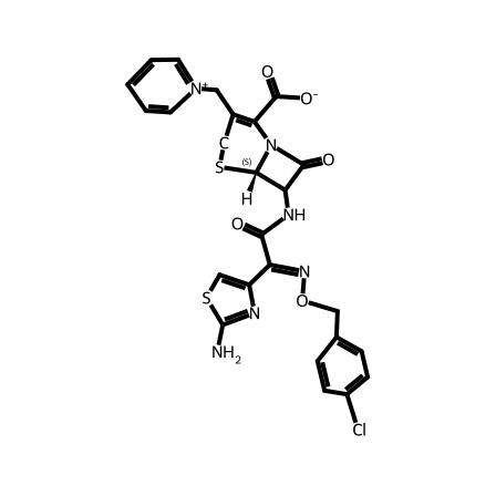 Nc1nc(C(=NOCc2ccc(Cl)cc2)C(=O)NC2C(=O)N3C(C(=O)[O-])=C(C[n+]4ccccc4)CS[C@@H]23)cs1